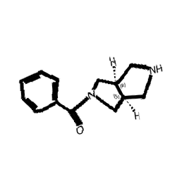 O=C(c1ccccc1)N1C[C@H]2CNC[C@H]2C1